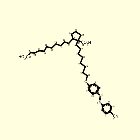 N#Cc1ccc(N=Nc2ccc(OCCCCCCCCC3(C(=O)O)CCCC3CCCCCCCCCCC(=O)O)cc2)cc1